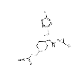 CCC1C[C@H]1NCC1(COc2ccc(F)cn2)CCN(CCC(=O)OC)CC1